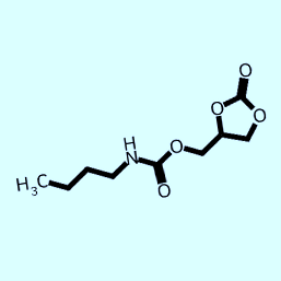 CCCCNC(=O)OCC1COC(=O)O1